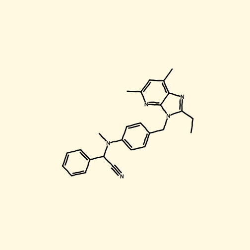 CCc1nc2c(C)cc(C)nc2n1Cc1ccc(N(C)C(C#N)c2ccccc2)cc1